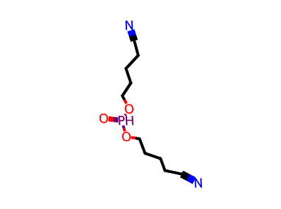 N#CCCCCO[PH](=O)OCCCCC#N